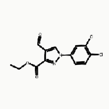 CCOC(=O)c1nn(-c2ccc(Cl)c(Cl)c2)cc1C=O